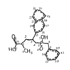 CC(CC(CP(=O)(O)Cc1ccccc1)c1ccc2ccccc2c1)C(=O)O